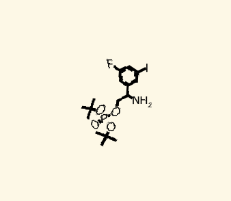 CC(C)(C)OP(=O)(OCC(N)c1cc(F)cc(I)c1)OC(C)(C)C